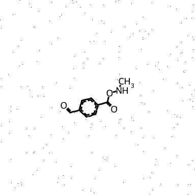 CNOC(=O)c1ccc(C=O)cc1